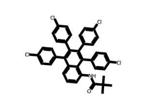 CC(C)(C)C(=O)Nc1cccc2c(-c3ccc(Cl)cc3)c(-c3ccc(Cl)cc3)c(-c3ccc(Cl)cc3)c(-c3ccc(Cl)cc3)c12